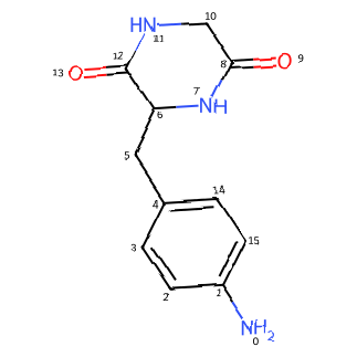 Nc1ccc(CC2NC(=O)CNC2=O)cc1